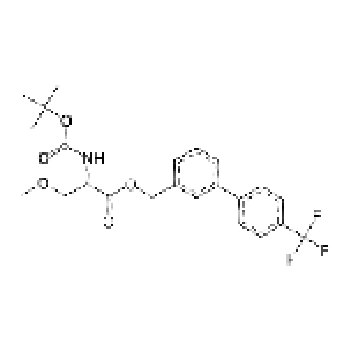 COCC(NC(=O)OC(C)(C)C)C(=O)OCc1cccc(-c2ccc(C(F)(F)F)cc2)c1